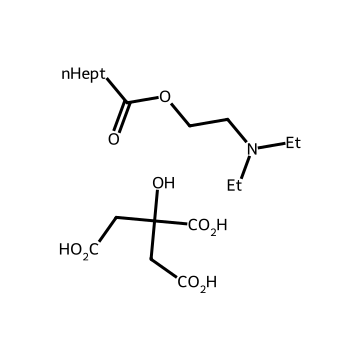 CCCCCCCC(=O)OCCN(CC)CC.O=C(O)CC(O)(CC(=O)O)C(=O)O